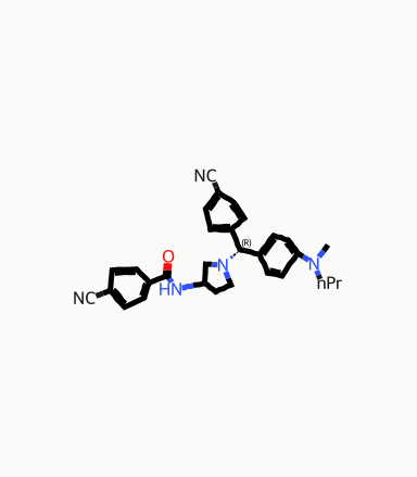 CCCN(C)c1ccc([C@@H](c2ccc(C#N)cc2)N2CCC(NC(=O)c3ccc(C#N)cc3)C2)cc1